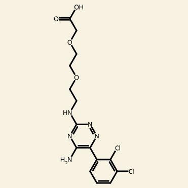 Nc1nc(NCCOCCOCC(=O)O)nnc1-c1cccc(Cl)c1Cl